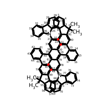 CC1(C)c2ccccc2-c2ccc(-c3ccccc3-c3c4ccc(-n5c6ccccc6c6ccccc65)cc4c(-c4ccccc4-c4ccc5c(c4)C(C)(C)c4ccccc4-5)c4ccc(-n5c6ccccc6c6ccccc65)cc34)cc21